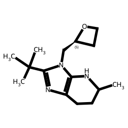 CC1CCc2nc(C(C)(C)C)n(C[C@@H]3CCO3)c2N1